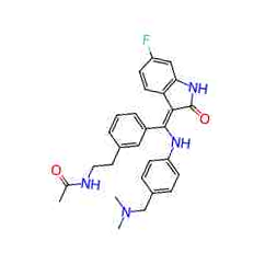 CC(=O)NCCc1cccc(/C(Nc2ccc(CN(C)C)cc2)=C2/C(=O)Nc3cc(F)ccc32)c1